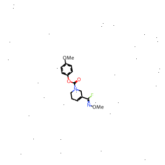 CON=C(F)C1=CCCN(C(=O)Oc2ccc(OC)cc2)C1